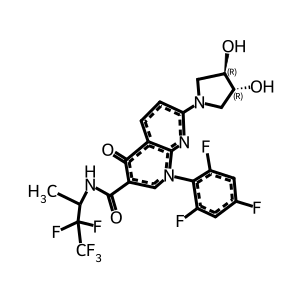 CC(NC(=O)c1cn(-c2c(F)cc(F)cc2F)c2nc(N3C[C@@H](O)[C@H](O)C3)ccc2c1=O)C(F)(F)C(F)(F)F